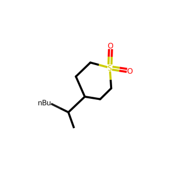 CCCCC(C)C1CCS(=O)(=O)CC1